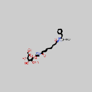 O=C[C@H](Cc1ccccc1)NNC(=O)CCCCCCC(=O)NCCO[C@H]1O[C@H](CO)[C@@H](O)[C@H](O)[C@@H]1O